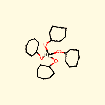 C1CCCC([O][Hf]([O]C2CCCCCC2)([O]C2CCCCCC2)[O]C2CCCCCC2)CC1